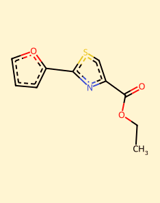 CCOC(=O)c1csc(-c2ccco2)n1